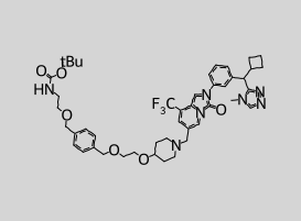 Cn1cnnc1C(c1cccc(-n2cc3c(C(F)(F)F)cc(CN4CCC(OCCOCc5ccc(COCCNC(=O)OC(C)(C)C)cc5)CC4)cn3c2=O)c1)C1CCC1